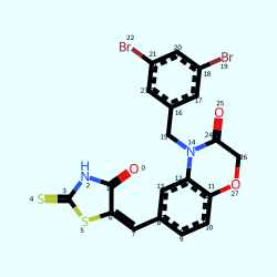 O=C1NC(=S)SC1=Cc1ccc2c(c1)N(Cc1cc(Br)cc(Br)c1)C(=O)CO2